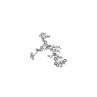 CCC1(C)CC2(C)CC(Cn3ncc(-c4ccc(-c5cnc6cccc(C(=O)Nc7nc8ccccc8s7)c6c5)nc4C(=O)O)c3C)CC(OCCN(C)C(=O)OCc3ccc(O[C@H]4C[C@@H](O)C[C@@H](C(=O)O)O4)cc3OCCOCCNC(=O)CCCCCN3C(=O)C=CC3=O)(C1)C2